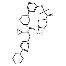 CC(C)(Oc1cccc(N2CCC[C@@H](C(=O)N(Cc3ccc(C4CCCCC4)cc3)C3CC3)C2)c1)C(=O)N1CCN(C(=O)O)CC1